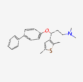 Cc1cc(C(CCN(C)C)Oc2ccc(-c3ccccc3)cc2)c(C)s1